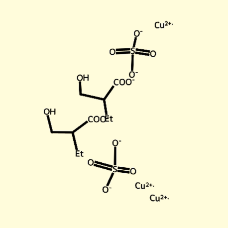 CCC(CO)C(=O)[O-].CCC(CO)C(=O)[O-].O=S(=O)([O-])[O-].O=S(=O)([O-])[O-].[Cu+2].[Cu+2].[Cu+2]